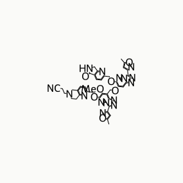 COc1c(OCc2ccc3c(n2)CCN(CCC#N)C3)nn2c(-c3cc(C)on3)nnc2c1COc1cc2nnc(-c3cc(C)on3)n2nc1OCc1ccc2c(n1)CNC2=O